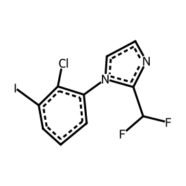 FC(F)c1nccn1-c1cccc(I)c1Cl